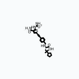 CC(C)(C[C@H](NCc1ccc(C#Cc2cc(C(N)=O)c(NC(N)=O)s2)cc1)C(=O)O)C1CCCC1